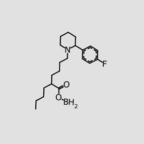 BOC(=O)C(CCCC)CCCCN1CCCCC1c1ccc(F)cc1